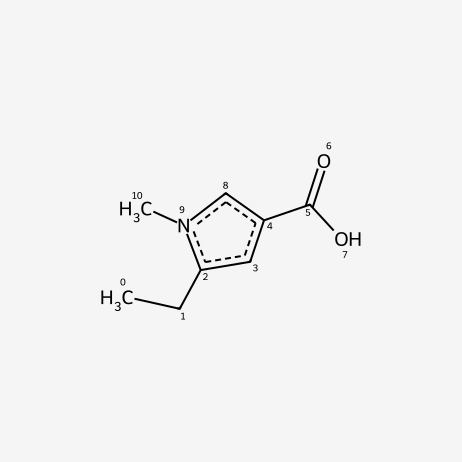 CCc1cc(C(=O)O)cn1C